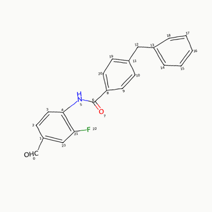 O=Cc1ccc(NC(=O)c2ccc(Cc3ccccc3)cc2)c(F)c1